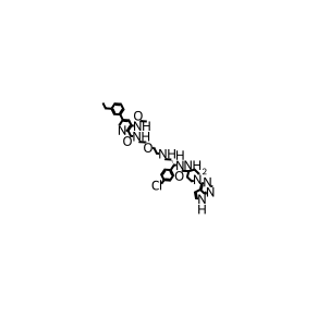 CCc1cccc(-c2cnc(C(=O)NCCOCCNCC[C@H](NC(=O)C3(N)CCN(c4ncnc5[nH]ccc45)CC3)c3ccc(Cl)cc3)c(NC(C)=O)c2)c1